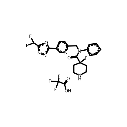 O=C(N(Cc1ccc(-c2nnc(C(F)F)o2)cn1)c1ccccc1)C1(F)CCNCC1.O=C(O)C(F)(F)F